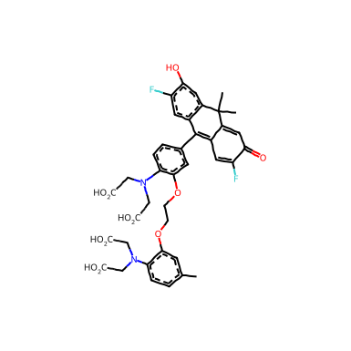 Cc1ccc(N(CC(=O)O)CC(=O)O)c(OCCOc2cc(C3=C4C=C(F)C(=O)C=C4C(C)(C)c4cc(O)c(F)cc43)ccc2N(CC(=O)O)CC(=O)O)c1